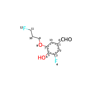 O=Cc1cc(F)c(O)c(OCCCF)c1